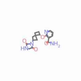 NC(=O)c1cccnc1O[C@@H]1CCC12CC(N1C(=O)CNC1=O)C2